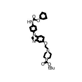 CC(C)(C)OC(=O)N1CCN(CCOc2ccc3c(c2)ncn3-c2ccc(NC(=O)Oc3ccccc3)cc2)CC1